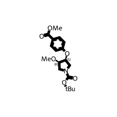 COC(=O)c1ccc(O[C@H]2CN(C(=O)OC(C)(C)C)C[C@H]2OC)cc1